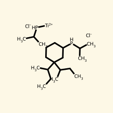 CC(C)[PH][Ti+2].CCC(C)C1(C(C)CC)CCCC(PC(C)C)C1.[Cl-].[Cl-]